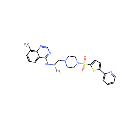 C[C@@H](CN1CCN(S(=O)(=O)c2ccc(-c3ccccn3)s2)CC1)Nc1ncnc2c(C(F)(F)F)cccc12